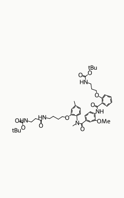 COc1cc(C(=O)N(C)c2ccc(C)cc2OCCCCNC(=O)CCNC(=O)OC(C)(C)C)ccc1NC(=O)c1ccccc1OCCCNC(=O)OC(C)(C)C